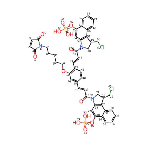 O=C1C=CC(=O)N1CCCCCOc1cc(/C=C/C(=O)N2C[C@@H](CCl)c3c2cc(OP(=O)(O)O)c2ccccc32)ccc1/C=C/C(=O)N1C[C@@H](CCl)c2c1cc(OP(=O)(O)O)c1ccccc21